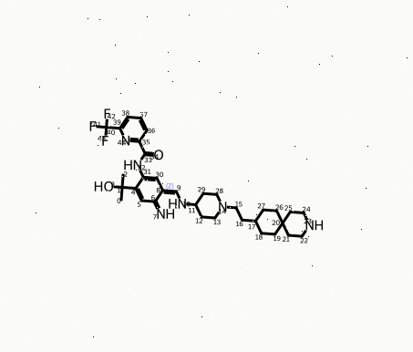 CC(C)(O)C1=CC(=N)/C(=C\NC2CCN(CCC3CCC4(CCNCC4)CC3)CC2)C=C1NC(=O)c1cccc(C(F)(F)F)n1